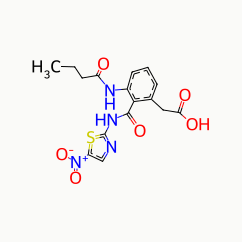 CCCC(=O)Nc1cccc(CC(=O)O)c1C(=O)Nc1ncc([N+](=O)[O-])s1